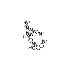 C[N+](C)(C)c1ccc2ccc(O)c(/N=N/c3ccc(Nc4nc(N5CCC([N+](C)(C)C)C5)nc(N5CCC([N+](C)(C)C)C5)n4)cc3)c2c1